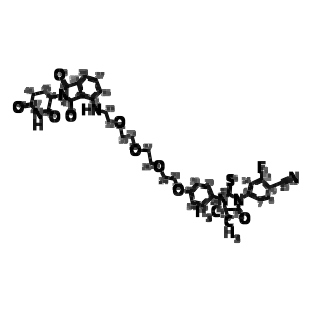 CC1(C)C(=O)N(c2ccc(C#N)c(F)c2)C(=S)N1c1ccc(OCCOCCOCCOCCNc2cccc3c2C(=O)N(C2CCC(=O)NC2=O)C3=O)cc1